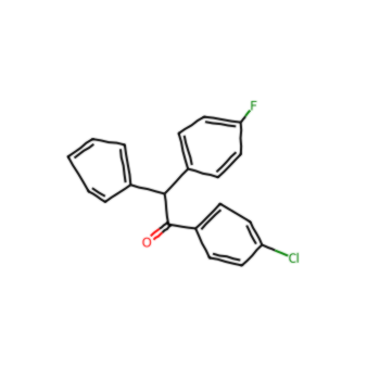 O=C(c1ccc(Cl)cc1)C(c1ccccc1)c1ccc(F)cc1